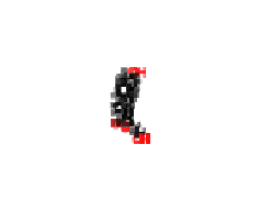 CC(C)(O)C[C@H]1C=C([C@H]2CC[C@]3(C)[C@@H]2CC[C@@H]2[C@@]4(C)CC[C@H](O)C(C)(C)[C@@H]4CC[C@]23C)C(=O)O1